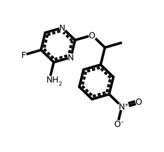 CC(Oc1ncc(F)c(N)n1)c1cccc([N+](=O)[O-])c1